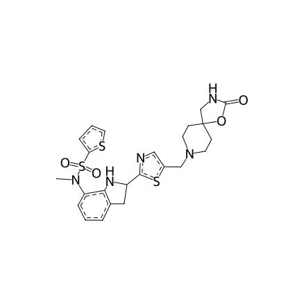 CN(c1cccc2c1NC(c1ncc(CN3CCC4(CC3)CNC(=O)O4)s1)C2)S(=O)(=O)c1cccs1